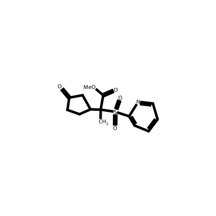 COC(=O)C(C)(C1CCC(=O)C1)S(=O)(=O)c1ccccn1